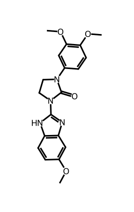 COc1ccc2[nH]c(N3CCN(c4ccc(OC)c(OC)c4)C3=O)nc2c1